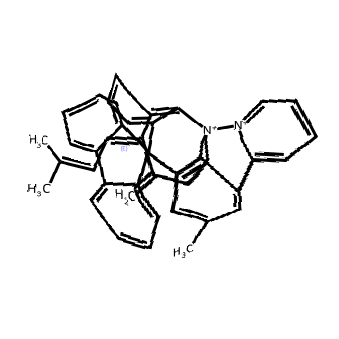 C=C1CC[N+]23c4c(cccc4C4(c5ccccc5-c5ccccc54)c4cc(C)cc(c42)-c2cccc[n+]23)/C1=C/C=C(C)C